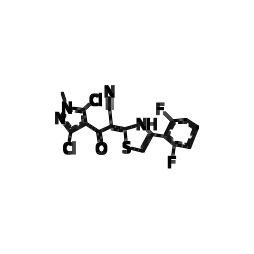 Cn1nc(Cl)c(C(=O)C(C#N)=C2NC(c3c(F)cccc3F)=CS2)c1Cl